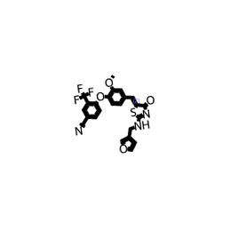 COc1cc(/C=C2\SC(NCc3ccoc3)=NC2=O)ccc1Oc1ccc(C#N)cc1C(F)(F)F